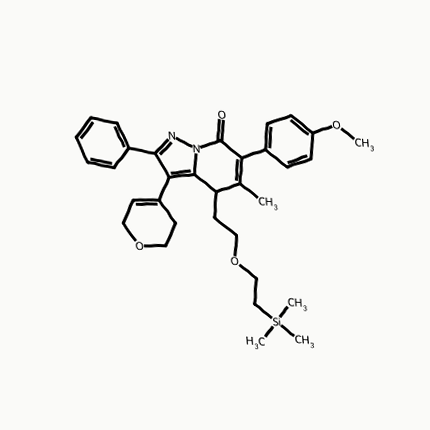 COc1ccc(C2=C(C)C(CCOCC[Si](C)(C)C)c3c(C4=CCOCC4)c(-c4ccccc4)nn3C2=O)cc1